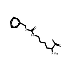 CNC(CCCCNC(=O)OCc1ccccc1)C(=O)I